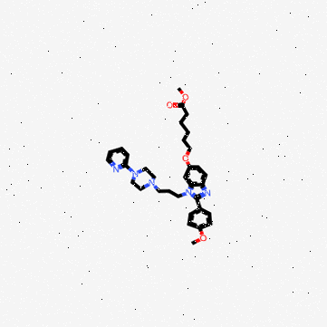 COC(=O)CCCCCOc1ccc2nc(-c3ccc(OC)cc3)n(CCCN3CCN(c4ccccn4)CC3)c2c1